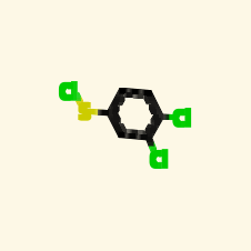 ClSc1ccc(Cl)c(Cl)c1